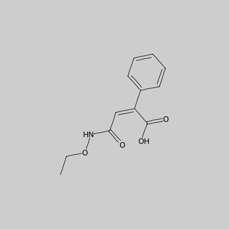 CCONC(=O)C=C(C(=O)O)c1ccccc1